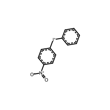 O=[N+]([O-])c1ccc([I+]c2ccccc2)cc1